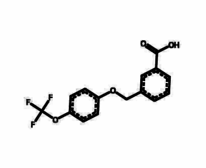 O=C(O)c1cccc(COc2ccc(OC(F)(F)F)cc2)c1